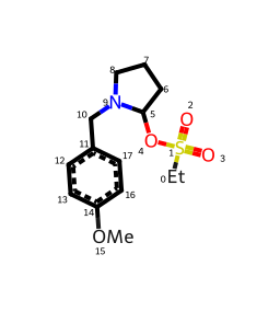 CCS(=O)(=O)OC1CCCN1Cc1ccc(OC)cc1